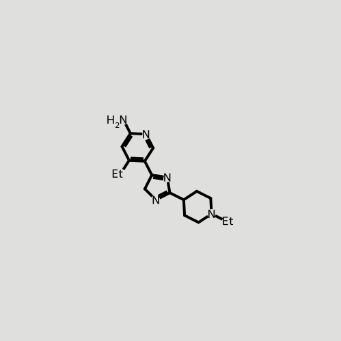 CCc1cc(N)ncc1C1=NC(C2CCN(CC)CC2)=NC1